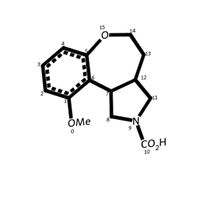 COc1cccc2c1C1CN(C(=O)O)CC1CCO2